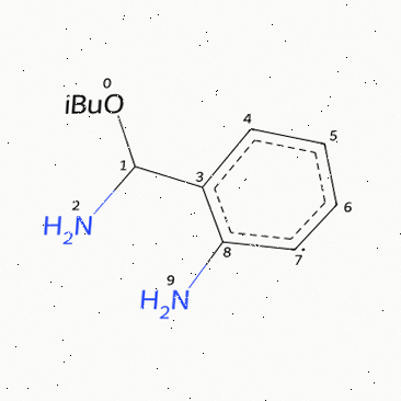 CC(C)COC(N)c1ccc[c]c1N